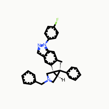 Cc1cc2c(cnn2-c2ccc(F)cc2)cc1[C@@]12CN(Cc3ccccc3)C[C@@H]1[C@]2(C)c1ccccc1